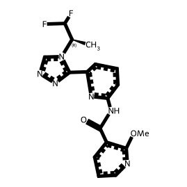 COc1ncccc1C(=O)Nc1cccc(-c2nncn2[C@H](C)C(F)F)n1